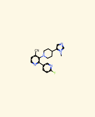 Cn1cncc1C1CCN(c2c(C#N)ccnc2-c2ccc(F)nc2)CC1